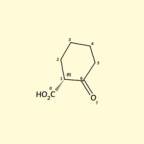 O=C(O)[C@@H]1CCCCC1=O